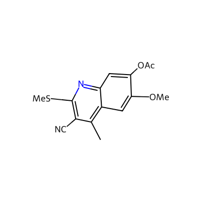 COc1cc2c(C)c(C#N)c(SC)nc2cc1OC(C)=O